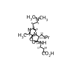 Cc1nc(CCN(C)C)cn([C@@H](CC(C)C)C(=O)NCCC(=O)O)c1=O